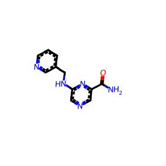 NC(=O)c1cncc(NCc2cccnc2)n1